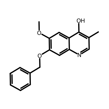 COc1cc2c(O)c(C)cnc2cc1OCc1ccccc1